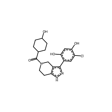 O=C(C1CCC(O)CC1)N1CCc2[nH]nc(-c3cc(Cl)c(O)cc3O)c2C1